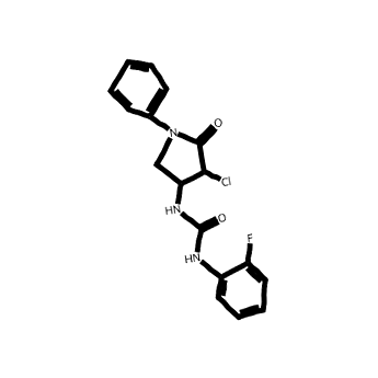 O=C(Nc1ccccc1F)NC1CN(c2ccccc2)C(=O)C1Cl